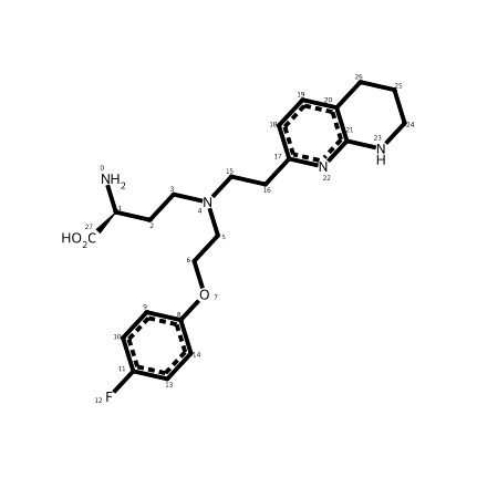 N[C@@H](CCN(CCOc1ccc(F)cc1)CCc1ccc2c(n1)NCCC2)C(=O)O